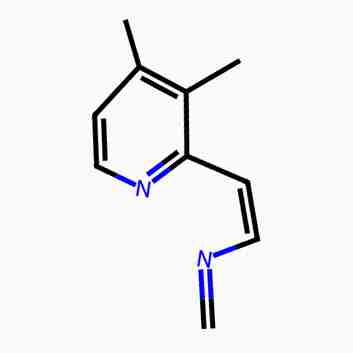 C=N/C=C\c1nccc(C)c1C